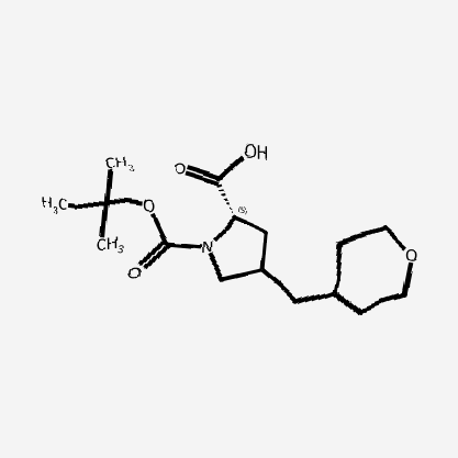 CC(C)(C)OC(=O)N1CC(CC2CCOCC2)C[C@H]1C(=O)O